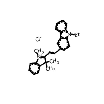 CCn1c2ccccc2c2cc(C=CC3=[N+](C)c4ccccc4C3(C)C)ccc21.[Cl-]